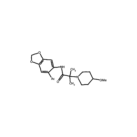 COC1CCN(C(C)(C)C(=O)Nc2cc3c(cc2C(C)=O)OCO3)CC1